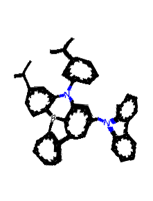 CC(C)c1cccc(N2c3cc(C(C)C)ccc3B3c4ccccc4-c4cc(-n5c6ccccc6c6ccccc65)cc2c43)c1